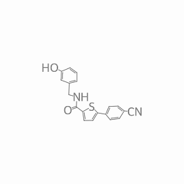 N#Cc1ccc(-c2ccc(C(=O)NCc3cccc(O)c3)s2)cc1